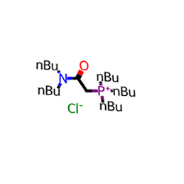 CCCCN(CCCC)C(=O)C[P+](CCCC)(CCCC)CCCC.[Cl-]